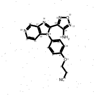 N#CCCOc1ccc(-n2c(-c3nonc3N)nc3cnccc32)cc1